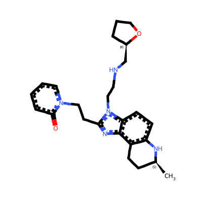 C[C@H]1CCc2c(ccc3c2nc(CCn2ccccc2=O)n3CCNC[C@H]2CCCO2)N1